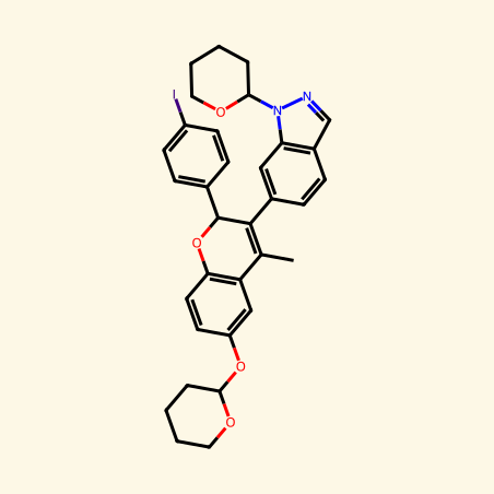 CC1=C(c2ccc3cnn(C4CCCCO4)c3c2)C(c2ccc(I)cc2)Oc2ccc(OC3CCCCO3)cc21